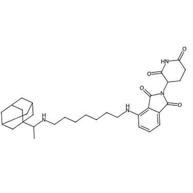 CC(NCCCCCCCNc1cccc2c1C(=O)N(C1CCC(=O)NC1=O)C2=O)C12CC3CC(CC(C3)C1)C2